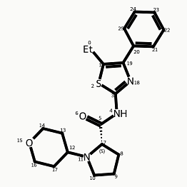 CCc1sc(NC(=O)[C@@H]2CCCN2C2CCOCC2)nc1-c1ccccc1